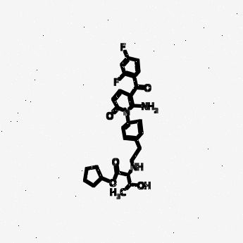 CC(O)[C@H](NCCc1ccc(-n2c(N)c(C(=O)c3ccc(F)cc3F)ccc2=O)cc1)C(=O)OC1CCCC1